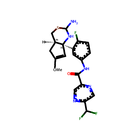 COC1=C[C@]2(c3cc(NC(=O)c4cnc(C(F)F)cn4)ccc3F)NC(N)SC[C@@H]2C1